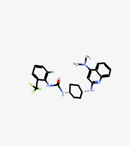 CN(C)c1cc(N[C@H]2CC[C@@H](NC(=O)Nc3c(Cl)cccc3C(F)(F)F)CC2)nc2ccccc12